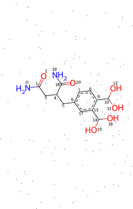 NC(=O)CC(Cc1ccc(C(O)O)c(C(O)O)c1)C(N)=O